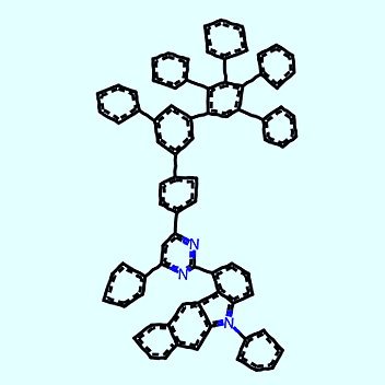 c1ccc(-c2cc(-c3ccc(-c4cc(-c5ccccc5)nc(-c5cccc6c5c5cc7ccccc7cc5n6-c5ccccc5)n4)cc3)cc(-c3cc(-c4ccccc4)c(-c4ccccc4)c(-c4ccccc4)c3-c3ccccc3)c2)cc1